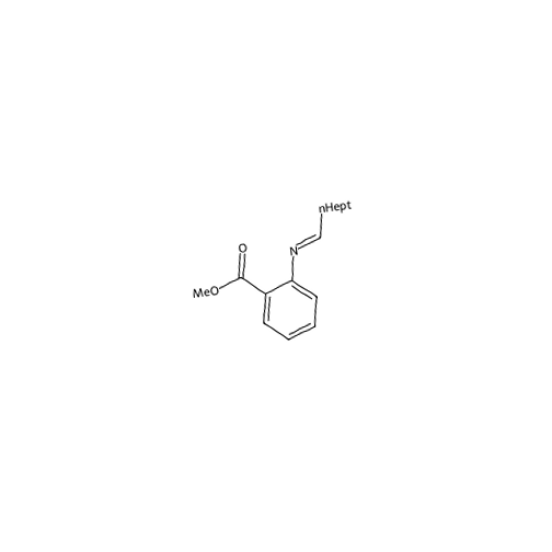 CCCCCCCC=Nc1ccccc1C(=O)OC